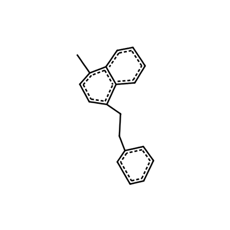 Cc1ccc(CCc2ccccc2)c2ccccc12